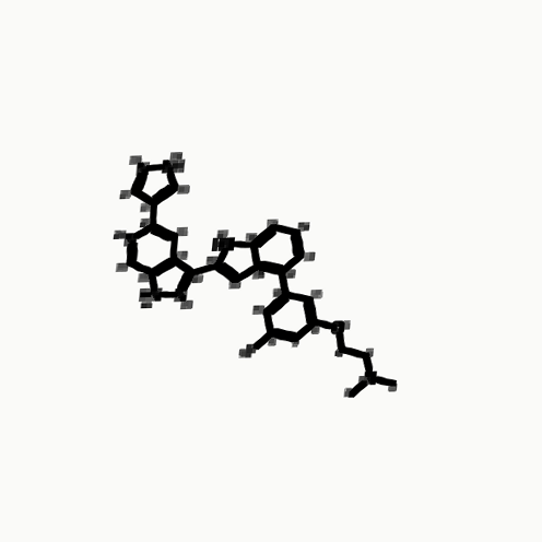 CN(C)CCOc1cc(F)cc(-c2cccc3[nH]c(-c4n[nH]c5cnc(-c6cn[nH]c6)cc45)cc23)c1